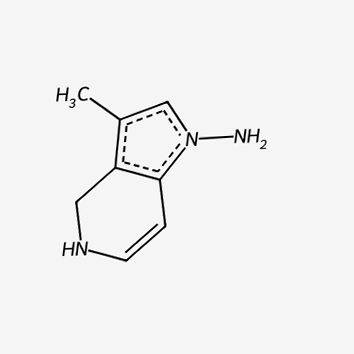 Cc1cn(N)c2c1CNC=C2